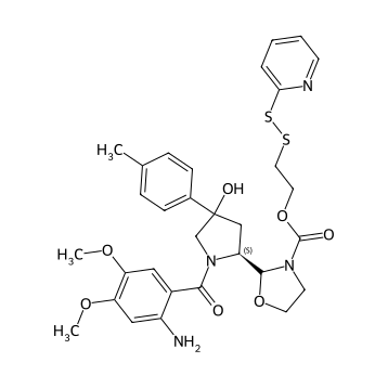 COc1cc(N)c(C(=O)N2CC(O)(c3ccc(C)cc3)C[C@H]2C2OCCN2C(=O)OCCSSc2ccccn2)cc1OC